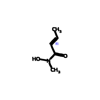 C/C=C/C(=O)N(C)O